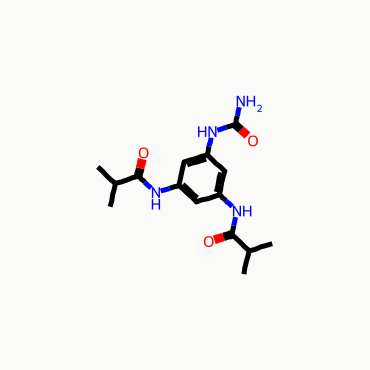 CC(C)C(=O)Nc1cc(NC(N)=O)cc(NC(=O)C(C)C)c1